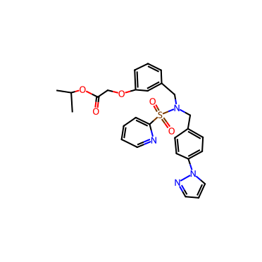 CC(C)OC(=O)COc1cccc(CN(Cc2ccc(-n3cccn3)cc2)S(=O)(=O)c2ccccn2)c1